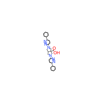 O=C(O)C12CN(c3ccc(-c4ccccc4)nn3)CC1CN(c1ccc(-c3ccccc3)nn1)C2